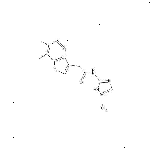 Cc1ccc2c(CC(=O)Nc3ncc(C(F)(F)F)[nH]3)coc2c1C